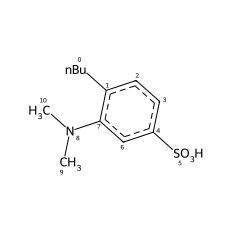 CCCCc1ccc(S(=O)(=O)O)cc1N(C)C